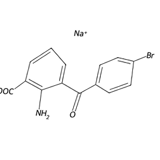 Nc1c(C(=O)[O-])cccc1C(=O)c1ccc(Br)cc1.[Na+]